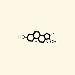 C[C@H]1CC2C3CC=C4C[C@H](O)CC[C@@H]4C3CC[C@]2(C)[C@@H]1O